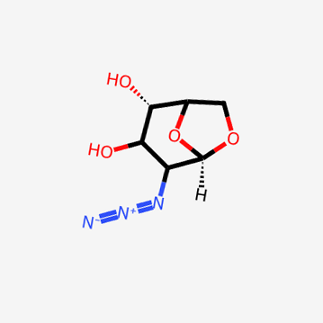 [N-]=[N+]=NC1C(O)[C@H](O)C2CO[C@@H]1O2